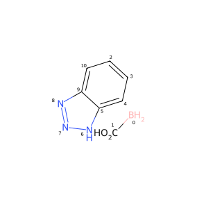 BC(=O)O.c1ccc2[nH]nnc2c1